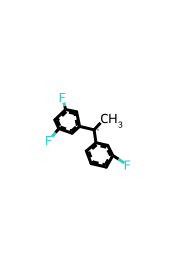 C[C](c1cccc(F)c1)c1cc(F)cc(F)c1